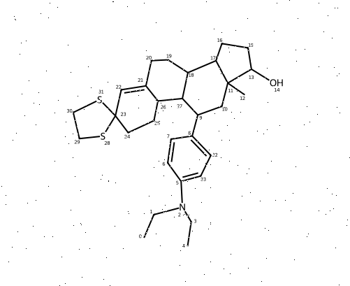 CCN(CC)c1ccc(C2CC3(C)C(O)CCC3C3CCC4=CC5(CCC4C23)SCCS5)cc1